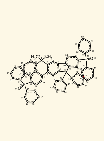 CC1(C)c2cc3c(cc2-c2ccc(P(=O)(c4ccccc4)c4ccccc4)c4cccc1c24)C(c1ccccc1)(c1ccccc1)c1cc(P(=O)(c2ccccc2)c2ccccc2)ccc1-3